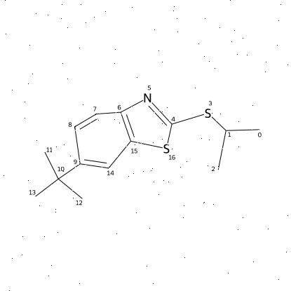 CC(C)Sc1nc2ccc(C(C)(C)C)cc2s1